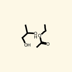 CC(O)CO.CCOC(C)=O